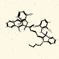 C=C(/C=C/C=C1/N(CCCC)c2ccccc2C1(C)Cc1c(Cl)cccc1Cl)C(C)(Cc1c(Cl)cccc1Cl)c1ccc2ccccc2c1C